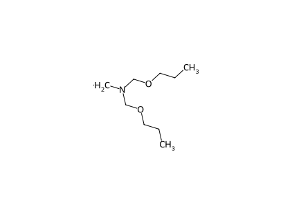 [CH2]N(COCCC)COCCC